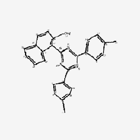 Cc1ccc(-c2nc(-c3ccc(C)cc3)nc(-c3c(O)ccc4ccccc34)n2)cc1